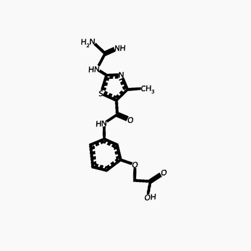 Cc1nc(NC(=N)N)sc1C(=O)Nc1cccc(OCC(=O)O)c1